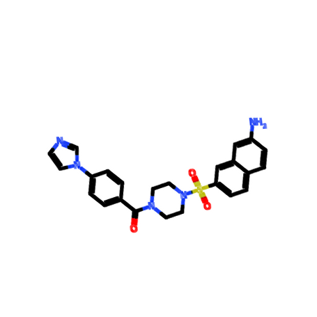 Nc1ccc2ccc(S(=O)(=O)N3CCN(C(=O)c4ccc(-n5ccnc5)cc4)CC3)cc2c1